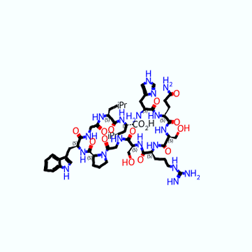 CC(C)C[C@H](NC(=O)[C@H](CC(C)C)NC(=O)CNC(=O)[C@H](Cc1c[nH]c2ccccc12)NC(=O)[C@@H]1CCCN1C(=O)CNC(=O)[C@H](CO)NC(=O)[C@H](CCCNC(=N)N)NC(=O)[C@H](CO)NC(=O)[C@H](CCC(N)=O)NC(=O)[C@@H](N)Cc1c[nH]cn1)C(=O)O